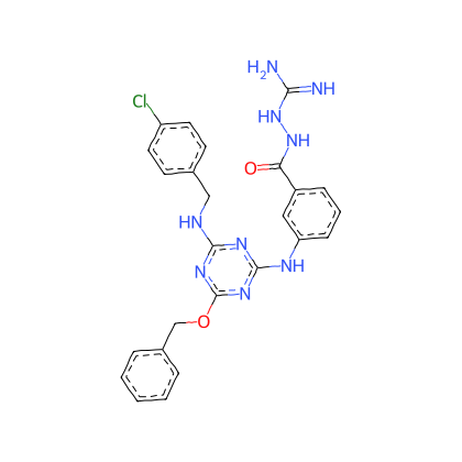 N=C(N)NNC(=O)c1cccc(Nc2nc(NCc3ccc(Cl)cc3)nc(OCc3ccccc3)n2)c1